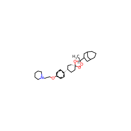 C[C@@]1(C2CC3CCCC(C3)C2)OO[C@]2(CC[C@@H](c3ccc(OCCN4CCCCC4)cc3)CC2)O1